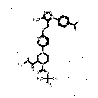 CNC(=O)C1CN(c2ccc(OCc3c(C)nnn3-c3ccc(C(F)F)cc3)nn2)CCN1C(=O)OC(C)(C)C